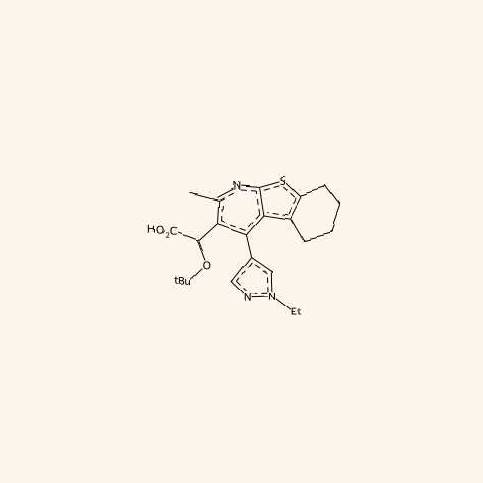 CCn1cc(-c2c(C(OC(C)(C)C)C(=O)O)c(C)nc3sc4c(c23)CCCC4)cn1